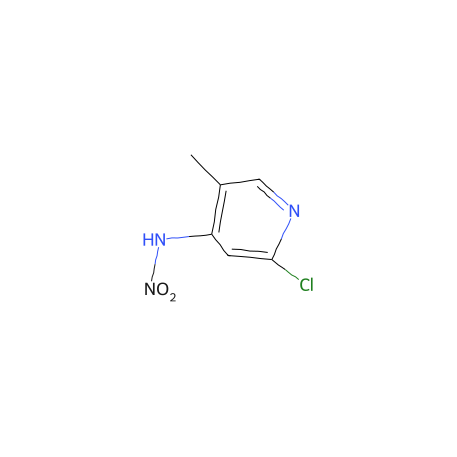 Cc1cnc(Cl)cc1N[N+](=O)[O-]